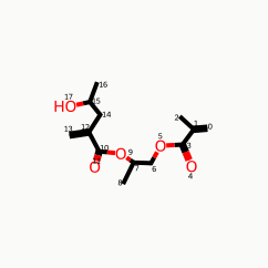 C=C(C)C(=O)OCC(C)OC(=O)C(=C)CC(C)O